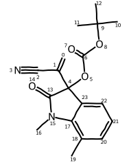 C=C(C#N)C1(OC(=O)OC(C)(C)C)C(=O)N(C)c2c(C)cccc21